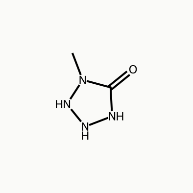 CN1NNNC1=O